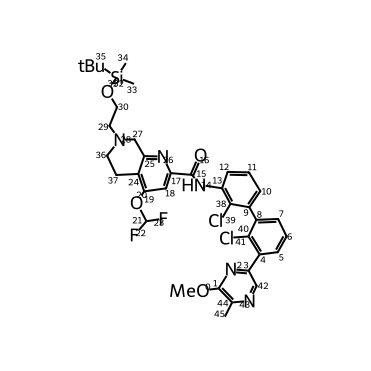 COc1nc(-c2cccc(-c3cccc(NC(=O)c4cc(OC(F)F)c5c(n4)CN(CCO[Si](C)(C)C(C)(C)C)CC5)c3Cl)c2Cl)cnc1C